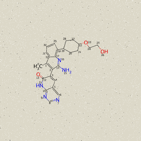 Cc1c(-c2cc3cncnc3[nH]c2=O)c(N)nc2c(C3CCC(OCCO)CC3)cccc12